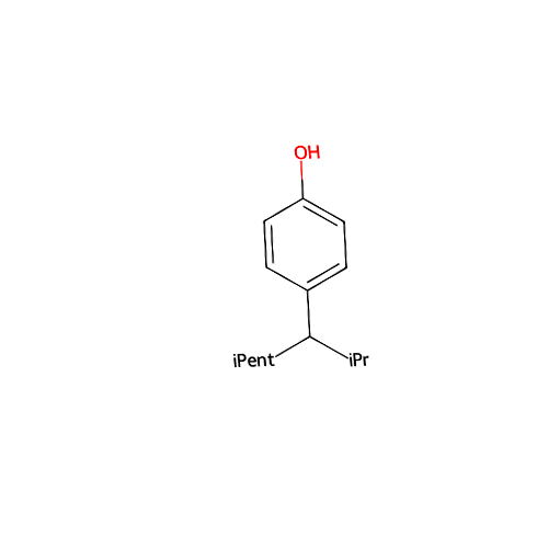 CCCC(C)C(c1ccc(O)cc1)C(C)C